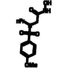 CCCN(CC(=O)NO)S(=O)(=O)c1ccc(OC)cc1